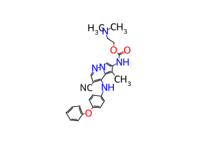 Cc1c(NC(=O)OCCN(C)C)cn2ncc(C#N)c(Nc3ccc(Oc4ccccc4)cc3)c12